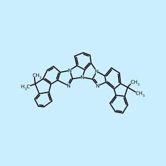 CC1(C)c2ccccc2-c2c1ccc1c2nc2n1c1cccc3c1n2c1nc2c4c(ccc2n31)C(C)(C)c1ccccc1-4